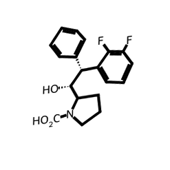 O=C(O)N1CCCC1[C@H](O)[C@H](c1ccccc1)c1cccc(F)c1F